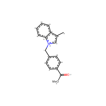 COC(=O)c1ccc(Cn2cc(C)c3ccccc32)cc1